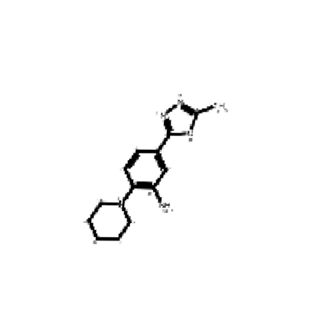 Cc1nnc(-c2ccc(N3CCCCC3)c(N)c2)o1